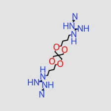 N#CNC(=N)NCCCC1OCC2(CO1)COC(CCCNC(=N)NC#N)OC2